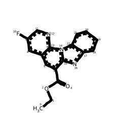 CCOC(=O)c1cc2cc(F)cnc2n2c1nc1ccccc12